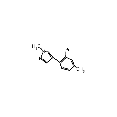 Cc1ccc(-c2cnn(C)c2)c(C(C)C)c1